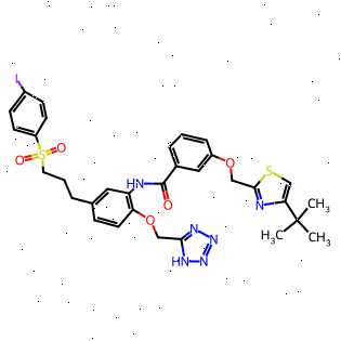 CC(C)(C)c1csc(COc2cccc(C(=O)Nc3cc(CCCS(=O)(=O)c4ccc(I)cc4)ccc3OCc3nnn[nH]3)c2)n1